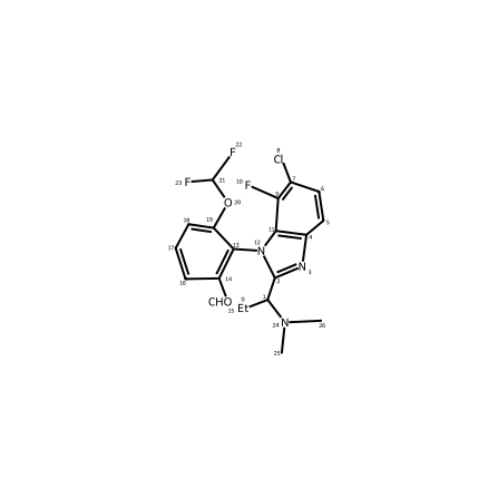 CCC(c1nc2ccc(Cl)c(F)c2n1-c1c(C=O)cccc1OC(F)F)N(C)C